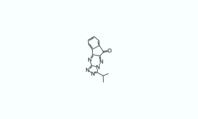 CC(C)c1nnc2nc3c(nn12)C(=O)c1ccccc1-3